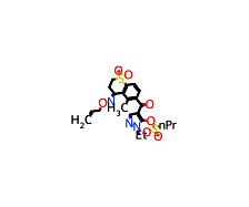 C=CCON=C1CCS(=O)(=O)c2ccc(C(=O)c3cnn(CC)c3OS(=O)(=O)CCC)c(C)c21